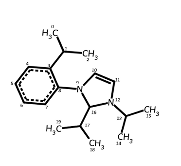 CC(C)c1ccccc1N1C=CN(C(C)C)C1C(C)C